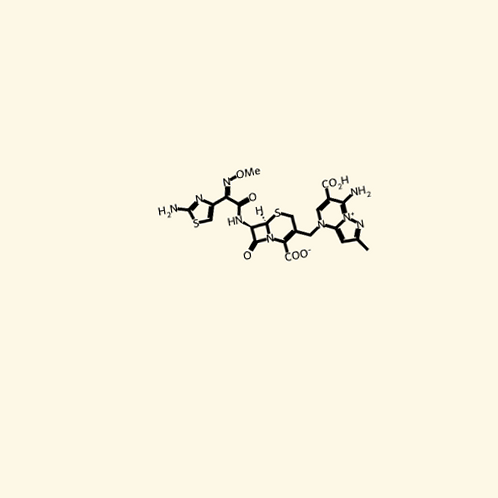 CO/N=C(\C(=O)N[C@@H]1C(=O)N2C(C(=O)[O-])=C(Cn3cc(C(=O)O)c(N)[n+]4nc(C)cc3-4)CS[C@H]12)c1csc(N)n1